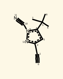 C#Cc1cc(C(C)(C)C)n(C#N)n1